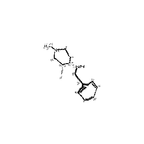 CN1CC[C@H](NCc2ccccc2)[C@H](F)C1